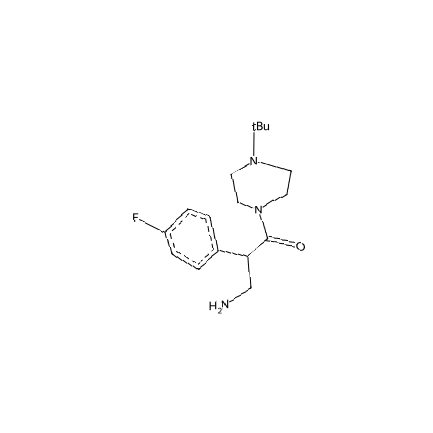 CC(C)(C)N1CCN(C(=O)C(CN)c2ccc(F)cc2)CC1